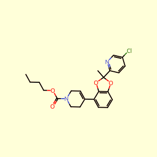 CCCCOC(=O)N1CC=C(c2cccc3c2OC(C)(c2ccc(Cl)cn2)O3)CC1